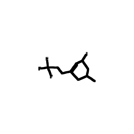 CC1CC(CCC(F)(F)F)=CC(I)C1